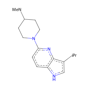 CNC1CCN(c2ccc3[nH]cc(C(C)C)c3n2)CC1